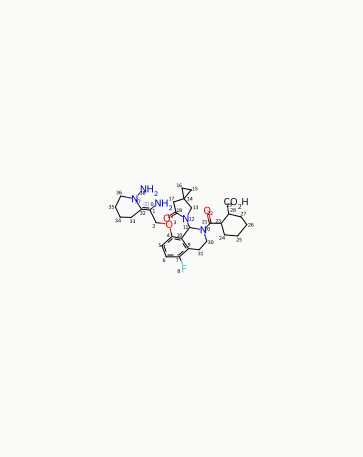 N/C(COc1ccc(F)c2c1C(N1CC3(CC3)CC1=O)N(C(=O)C1CCCCC1C(=O)O)CC2)=C1/CCCCN1N